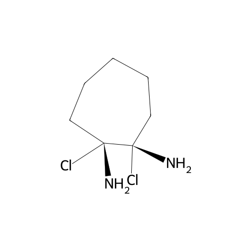 N[C@]1(Cl)CCCCC[C@@]1(N)Cl